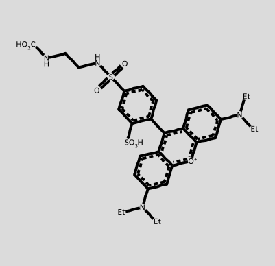 CCN(CC)c1ccc2c(-c3ccc(S(=O)(=O)NCCNC(=O)O)cc3S(=O)(=O)O)c3ccc(N(CC)CC)cc3[o+]c2c1